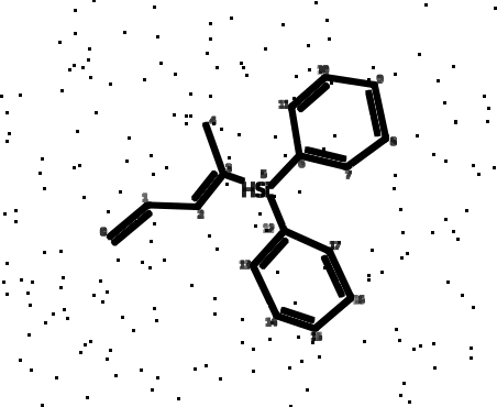 C=C/C=C(\C)[SiH](c1ccccc1)c1ccccc1